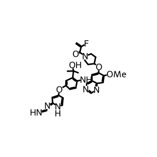 C=C(F)C(=O)N1CCC(Oc2cc3c(Nc4ccc(Oc5cc[nH]/c(=N\C=N)c5)cc4C(C)(C)O)ncnc3cc2OC)CC1